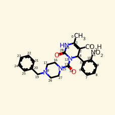 CC1=C(C(=O)O)C(c2ccccc2[N+](=O)[O-])N(C(=O)N2CCN(Cc3ccccc3)CC2)C(=O)N1